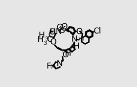 CC1(C)OCC=C[C@H](OCCN2CC[C@@H](F)C2)[C@@H]2CC[C@H]2CN2C[C@@]3(CCCc4cc(Cl)ccc43)COc3ccc(cc32)S(=O)(=O)NC1=O